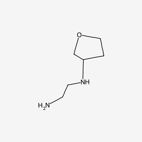 NCCNC1CCOC1